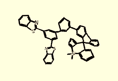 C[Si]1(C)c2ccccc2C2(c3ccccc3-c3ccc(-c4cccc(-c5cc(-c6nc7ccccc7s6)cc(-c6nc7ccccc7s6)c5)c4)cc32)c2ccccc21